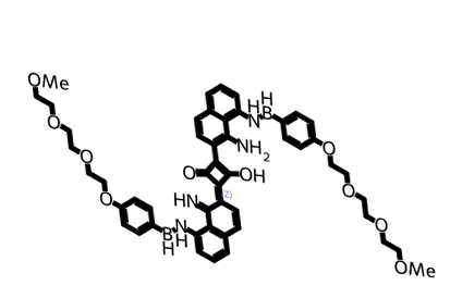 COCCOCCOCCOc1ccc(BNc2cccc3c2C(=N)/C(=C2\C(=O)C(c4ccc5cccc(NBc6ccc(OCCOCCOCCOC)cc6)c5c4N)=C2O)C=C3)cc1